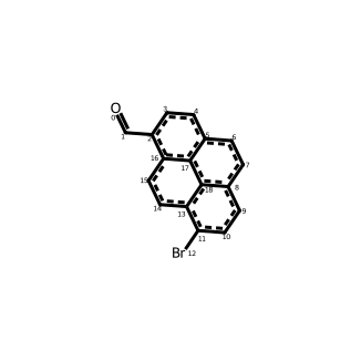 O=Cc1ccc2ccc3ccc(Br)c4ccc1c2c34